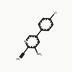 C#Cc1ncc(-c2ccc(Cl)cc2)cc1N